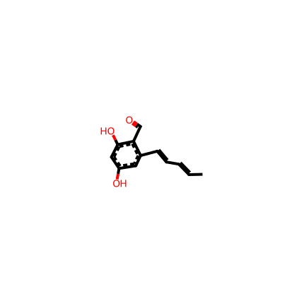 CC=CC=Cc1cc(O)cc(O)c1C=O